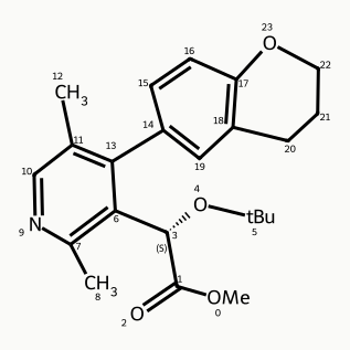 COC(=O)[C@@H](OC(C)(C)C)c1c(C)ncc(C)c1-c1ccc2c(c1)CCCO2